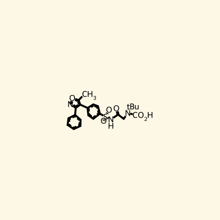 Cc1onc(-c2ccccc2)c1-c1ccc(S(=O)(=O)NC(=O)CN(C(=O)O)C(C)(C)C)cc1